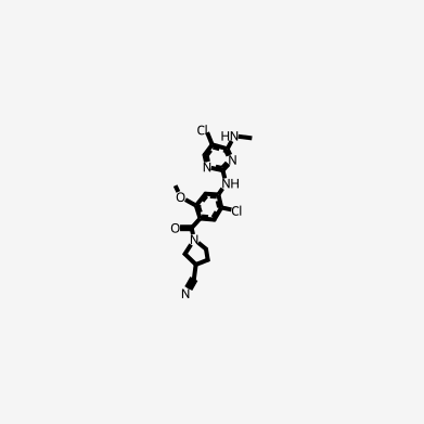 CNc1nc(Nc2cc(OC)c(C(=O)N3CCC(C#N)C3)cc2Cl)ncc1Cl